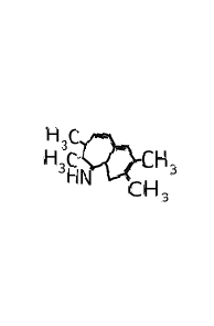 CC1=C(C)CC2C(=N)[C@H](C)C(C)C=CC2=C1